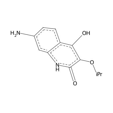 CC(C)Oc1c(O)c2ccc(N)cc2[nH]c1=O